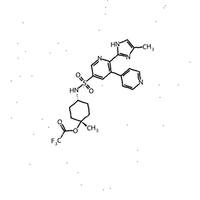 Cc1c[nH]c(-c2ncc(S(=O)(=O)N[C@H]3CC[C@@](C)(OC(=O)C(F)(F)F)CC3)cc2-c2ccncc2)n1